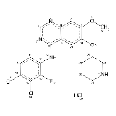 COc1cc2ncnc(Nc3ccc(Cl)c(Cl)c3F)c2cc1OC1CCCNC1.Cl